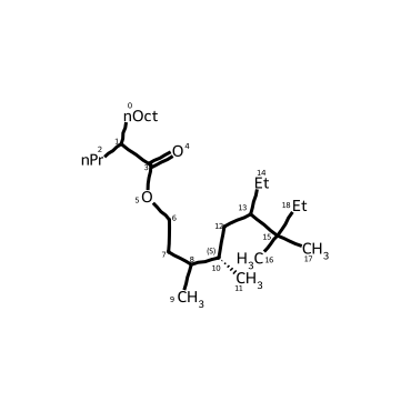 CCCCCCCCC(CCC)C(=O)OCCC(C)[C@@H](C)CC(CC)C(C)(C)CC